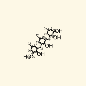 Cc1cc(O)c(O)c(Cc2cc(C)cc(Cc3cc(C)cc(CO)c3O)c2O)c1